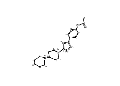 CC(=O)Nc1ccc(-c2nsc(N3CCC(N4CCCCC4)CC3)n2)cc1